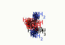 CC(C)(C)[Si](C)(C)O[C@@H]1[C@H](O)[C@@H](COP(=O)(O)OP(C)(=O)OP(=O)(O)OC[C@H]2O[C@@H](n3cnc4c(N)ncnc43)[C@H](O)[C@@H]2O)O[C@H]1n1cnc2c(N)ncnc21